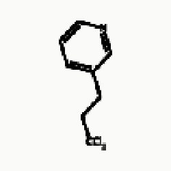 ClC(Cl)(Cl)CCc1cccnc1